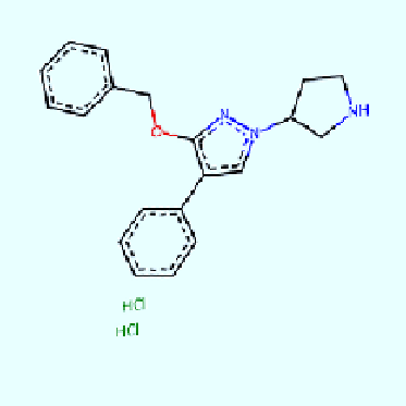 Cl.Cl.c1ccc(COc2nn(C3CCNC3)cc2-c2ccccc2)cc1